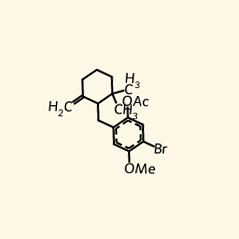 C=C1CCCC(C)(C)C1Cc1cc(OC)c(Br)cc1OC(C)=O